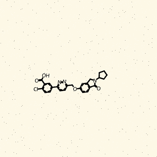 O=C(O)c1cc(-c2ccc(COc3ccc4c(c3)CN(C3CCCC3)C4=O)nn2)ccc1Cl